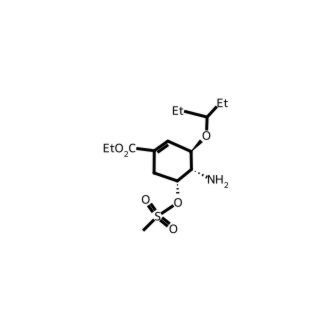 CCOC(=O)C1=C[C@@H](OC(CC)CC)[C@H](N)[C@H](OS(C)(=O)=O)C1